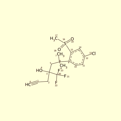 C#CCC(O)(CC(C)(C)c1ccc(Cl)cc1S(C)(=O)=O)C(F)(F)F